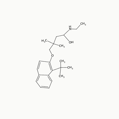 CCNC(O)CC(C)(C)COc1ccc2ccccc2c1C(C)(C)C